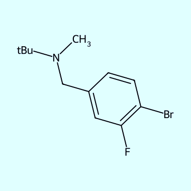 CN(Cc1ccc(Br)c(F)c1)C(C)(C)C